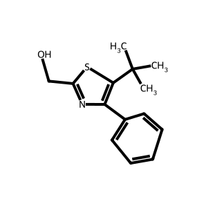 CC(C)(C)c1sc(CO)nc1-c1ccccc1